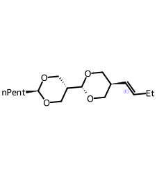 CC/C=C/[C@H]1CO[C@H]([C@H]2CO[C@H](CCCCC)OC2)OC1